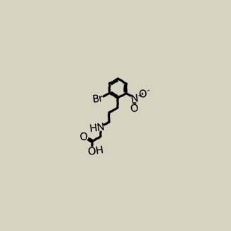 O=C(O)CNCCCc1c(Br)cccc1[N+](=O)[O-]